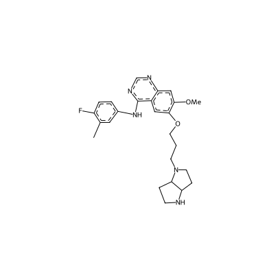 COc1cc2ncnc(Nc3ccc(F)c(C)c3)c2cc1OCCCN1CCC2NCCC21